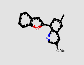 COc1cnc2c(-c3cc4ccccc4o3)cc(C)cc2c1